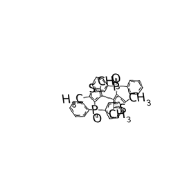 Cc1sc(C)c(P(=O)(c2ccccc2)c2ccccc2)c1-c1c(C)sc(C)c1P(=O)(c1ccccc1)c1ccccc1